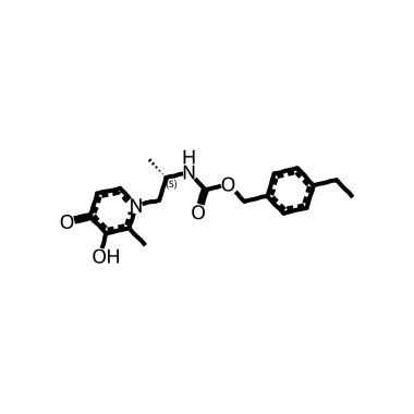 CCc1ccc(COC(=O)N[C@@H](C)Cn2ccc(=O)c(O)c2C)cc1